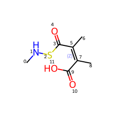 CNSC(=O)/C(C)=C(/C)C(=O)O